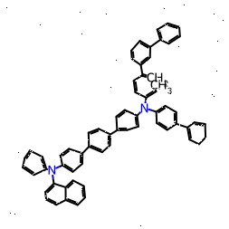 C=C(/C=C\C(=C/C)N(c1ccc(C2=CCCC=C2)cc1)c1ccc(-c2ccc(-c3ccc(N(c4ccccc4)c4cccc5ccccc45)cc3)cc2)cc1)c1cccc(-c2ccccc2)c1